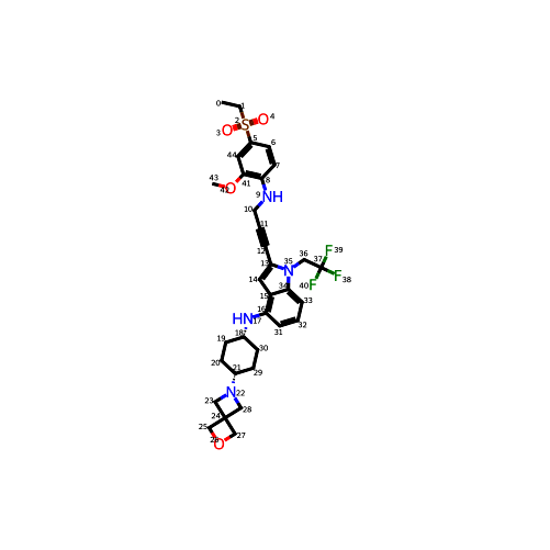 CCS(=O)(=O)c1ccc(NCC#Cc2cc3c(N[C@H]4CC[C@@H](N5CC6(COC6)C5)CC4)cccc3n2CC(F)(F)F)c(OC)c1